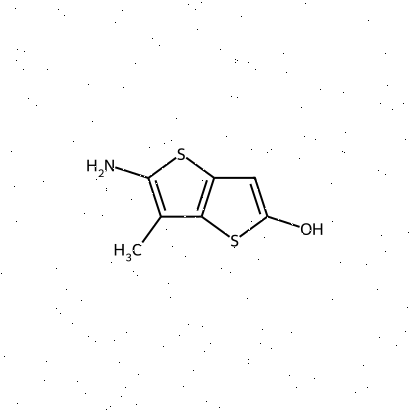 Cc1c(N)sc2cc(O)sc12